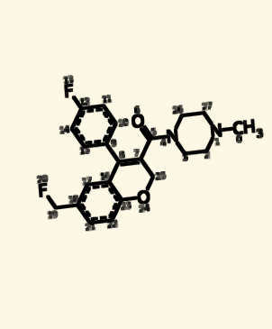 CN1CCN(C(=O)C2=C(c3ccc(F)cc3)c3cc(CF)ccc3OC2)CC1